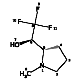 CN1CCC[C@H]1[C@@H](O)C(F)(F)F